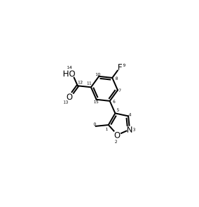 Cc1oncc1-c1cc(F)cc(C(=O)O)c1